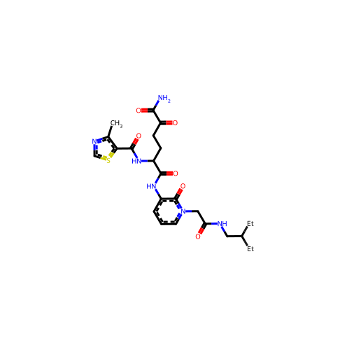 CCC(CC)CNC(=O)Cn1cccc(NC(=O)C(CCC(=O)C(N)=O)NC(=O)c2scnc2C)c1=O